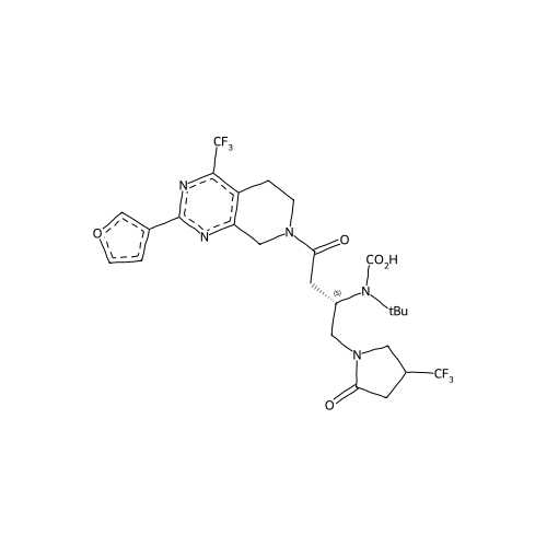 CC(C)(C)N(C(=O)O)[C@@H](CC(=O)N1CCc2c(nc(-c3ccoc3)nc2C(F)(F)F)C1)CN1CC(C(F)(F)F)CC1=O